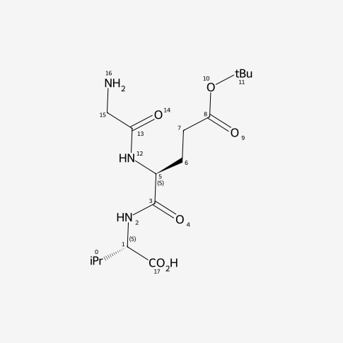 CC(C)[C@H](NC(=O)[C@H](CCC(=O)OC(C)(C)C)NC(=O)CN)C(=O)O